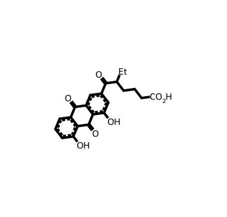 CCC(CCCC(=O)O)C(=O)c1cc(O)c2c(c1)C(=O)c1cccc(O)c1C2=O